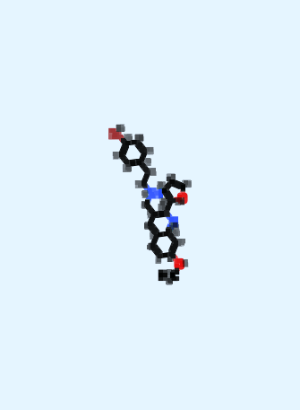 COc1ccc2cc(CNCCc3ccc(Br)cc3)c(-c3ccco3)nc2c1